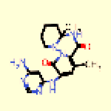 Cc1cc(Nc2cc(N)ncn2)c(=O)n2c1C(=O)NC1(C)CCCCN21